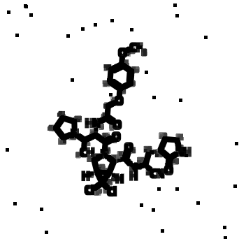 CC([C@H](NC(=O)COc1ccc(OC(F)(F)F)cc1)C(=O)N1C[C@H]2[C@@H]([C@H]1C(=O)N[C@H](C#N)C[C@@H]1CCNC1=O)C2(Cl)Cl)N1CCCC1